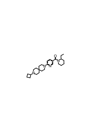 CCC1CCCCN1C(=O)c1ccc(N2CCC3(CC2)CCN(C2CCC2)CC3)nc1